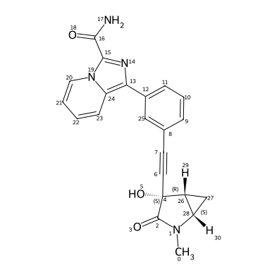 CN1C(=O)[C@@](O)(C#Cc2cccc(-c3nc(C(N)=O)n4ccccc34)c2)[C@@H]2C[C@@H]21